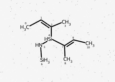 CC=C(C)[SiH](N[SiH3])C(C)=CC